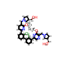 COc1nc(-c2cccc(-c3cccc(-c4cnc(CN5CC[C@@H](CO)C5)c(OC)n4)c3F)c2Cl)ccc1CN1CC[C@@H](CO)C1